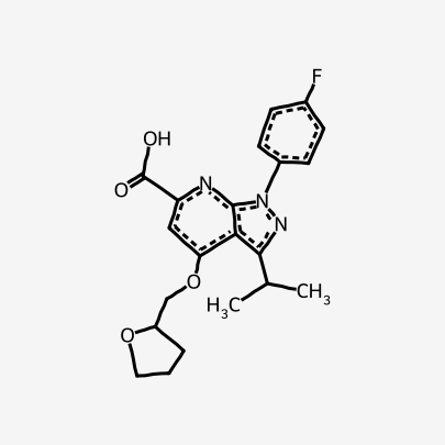 CC(C)c1nn(-c2ccc(F)cc2)c2nc(C(=O)O)cc(OCC3CCCO3)c12